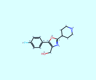 OCc1nc(C2CC[N]CC2)oc1-c1ccc(F)cc1